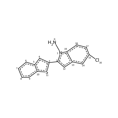 Nn1c(-c2cc3ccccc3s2)cc2cc(Cl)ccc21